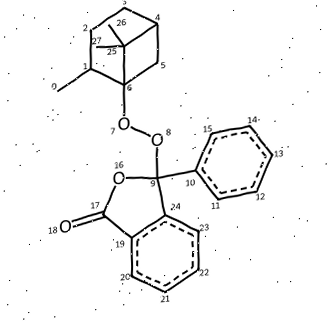 CC1CCC2CC1(OOC1(c3ccccc3)OC(=O)c3ccccc31)C2(C)C